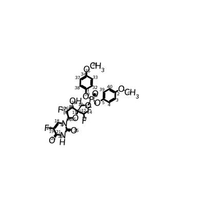 COc1ccc(OP(=O)(OC[C@@]2(C(F)F)O[C@@H](n3cc(F)c(=O)[nH]c3=O)[C@H](F)[C@@H]2O)Oc2ccc(OC)cc2)cc1